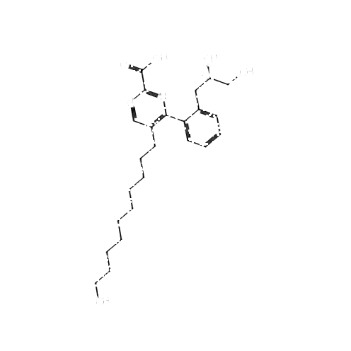 CCCCCCCCCCCc1cnc(C(=O)O)nc1-c1ccccc1C[C@@H](C)CC